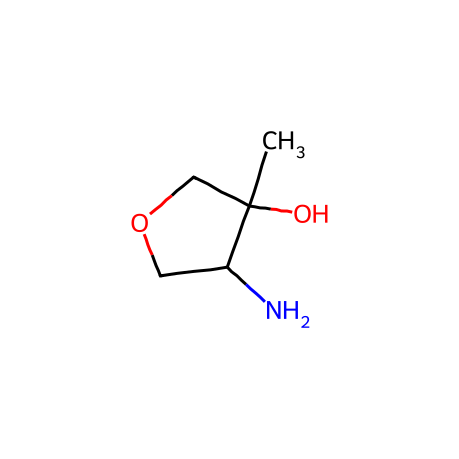 CC1(O)COCC1N